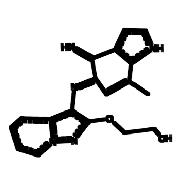 CC1=CC(=Nc2c(OCCO)nn3ccccc23)C(=N)c2cc[nH]c21